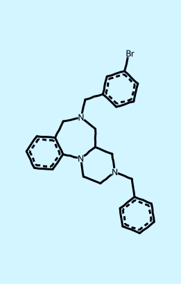 Brc1cccc(CN2Cc3ccccc3N3CCN(Cc4ccccc4)CC3C2)c1